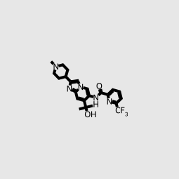 CN1CCC(c2cn3cc(NC(=O)c4cccc(C(F)(F)F)n4)c(C(C)(C)O)cc3n2)CC1